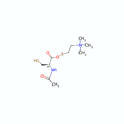 CC(=O)N[C@@H](CS)C(=O)OSCC[N+](C)(C)C